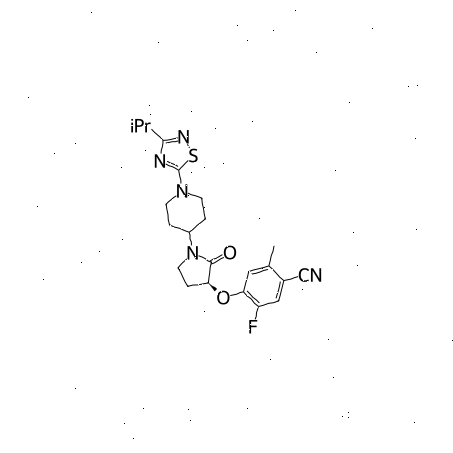 Cc1cc(O[C@H]2CCN(C3CCN(c4nc(C(C)C)ns4)CC3)C2=O)c(F)cc1C#N